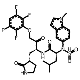 CC(C)C[C@@H](C(=O)N[C@@H](C[C@@H]1CCNC1=O)C(=O)COc1c(F)c(F)cc(F)c1F)N(c1ccc2c(ccn2C)c1)[SH](=O)=O